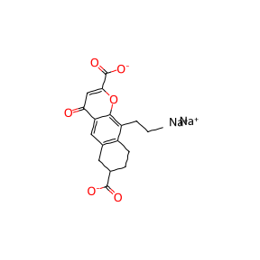 CCCc1c2c(cc3c(=O)cc(C(=O)[O-])oc13)CC(C(=O)[O-])CC2.[Na+].[Na+]